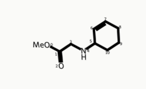 COC(=O)CNC1C=CCCC1